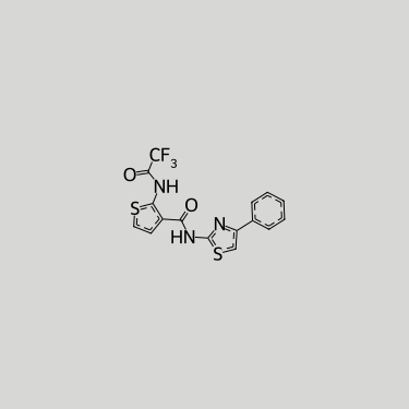 O=C(Nc1nc(-c2ccccc2)cs1)c1ccsc1NC(=O)C(F)(F)F